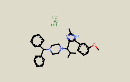 COc1cccc(-c2[nH]c(C)nc2C(C(C)C)N2CCN(C(c3ccccc3)c3ccccc3)CC2)c1.Cl.Cl.Cl